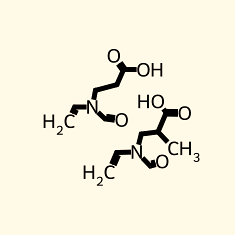 C=CN(C=O)CC(C)C(=O)O.C=CN(C=O)CCC(=O)O